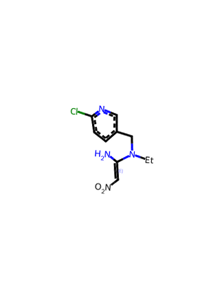 CCN(Cc1ccc(Cl)nc1)/C(N)=C/[N+](=O)[O-]